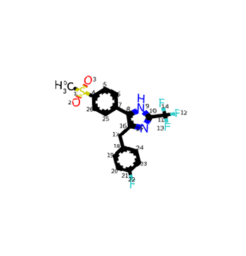 CS(=O)(=O)c1ccc(-c2[nH]c(C(F)(F)F)nc2Cc2ccc(F)cc2)cc1